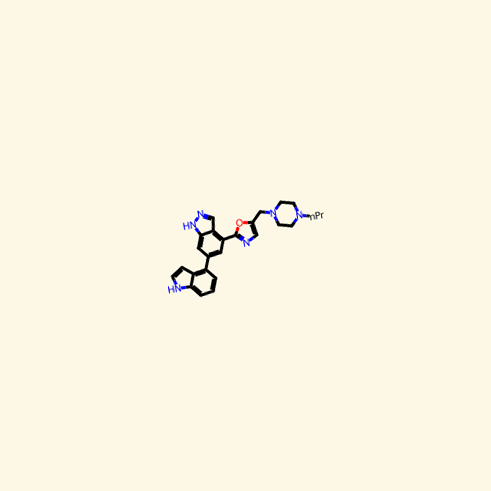 CCCN1CCN(Cc2cnc(-c3cc(-c4cccc5[nH]ccc45)cc4[nH]ncc34)o2)CC1